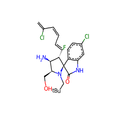 C=C(Cl)/C=C\C=C(/F)[C@H]1[C@H](N)[C@H](CO)N(CC(C)(C)C)[C@@]12C(=O)Nc1cc(Cl)ccc12